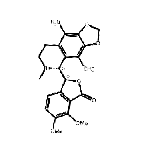 COc1ccc2c(c1OC)C(=O)O[C@@H]2[C@H]1c2c(C=O)c3c(c(N)c2CCN1C)OCO3